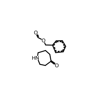 O=C1CCCNCC1.O=COCc1ccccc1